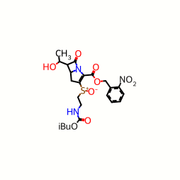 CC(C)COC(=O)NCC[S+]([O-])C1=C(C(=O)OCc2ccccc2[N+](=O)[O-])N2C(=O)C(C(C)O)C2C1